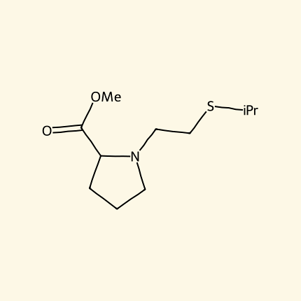 COC(=O)C1CCCN1CCSC(C)C